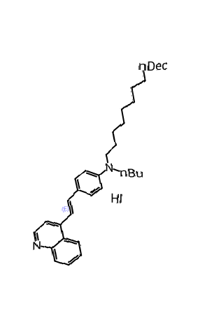 CCCCCCCCCCCCCCCCCCN(CCCC)c1ccc(/C=C/c2ccnc3ccccc23)cc1.I